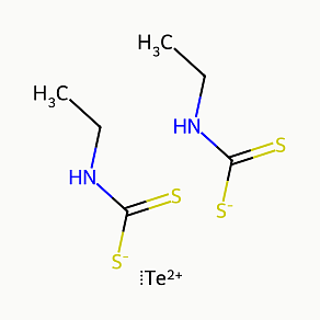 CCNC(=S)[S-].CCNC(=S)[S-].[Te+2]